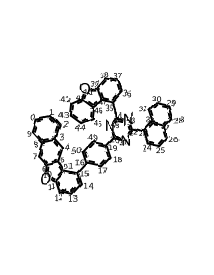 c1ccc2cc3c(cc2c1)oc1cccc(-c2ccc(-c4nc(-c5cccc6ccccc56)nc(-c5cccc6oc7ccccc7c56)n4)cc2)c13